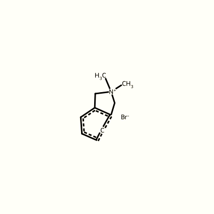 C[N+]1(C)Cc2ccccc2C1.[Br-]